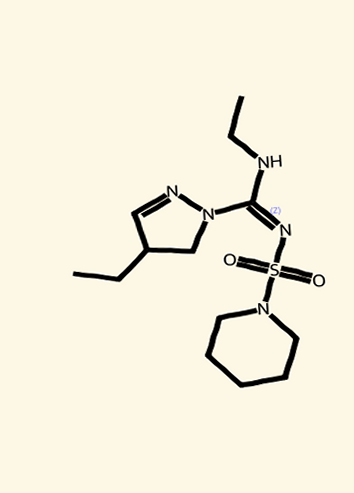 CCN/C(=N/S(=O)(=O)N1CCCCC1)N1CC(CC)C=N1